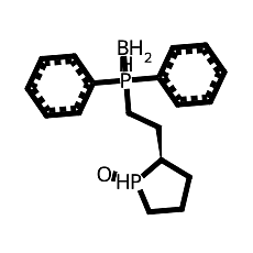 B[PH](CC[C@H]1CCC[PH]1=O)(c1ccccc1)c1ccccc1